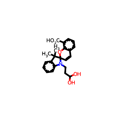 CC1(C)c2ccccc2N(CCC(O)O)C12C=Cc1cccc(C(=O)O)c1O2